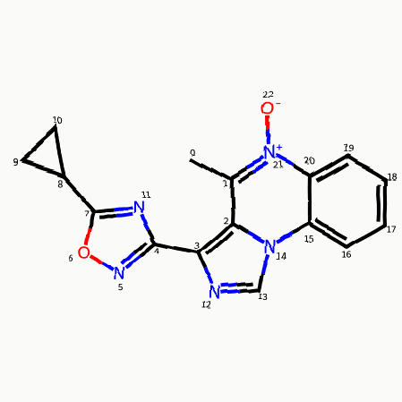 Cc1c2c(-c3noc(C4CC4)n3)ncn2c2ccccc2[n+]1[O-]